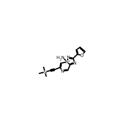 C[Si](C)(C)C#CC1=C[N+]2(N)N=C(c3ccco3)N=C2C=N1